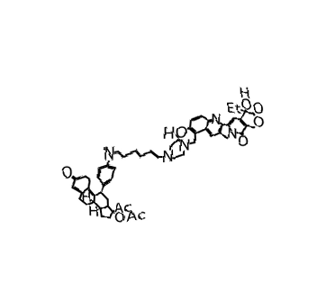 CC[C@@]1(O)C(=O)OCc2c1cc1n(c2=O)Cc2cc3c(CN4CCN(CCCCCCN(C)c5ccc([C@H]6CC7[C@@H](CC[C@]7(OC(C)=O)C(C)=O)[C@@H]7CCC8=CC(=O)CCC8=C76)cc5)CC4)c(O)ccc3nc2-1